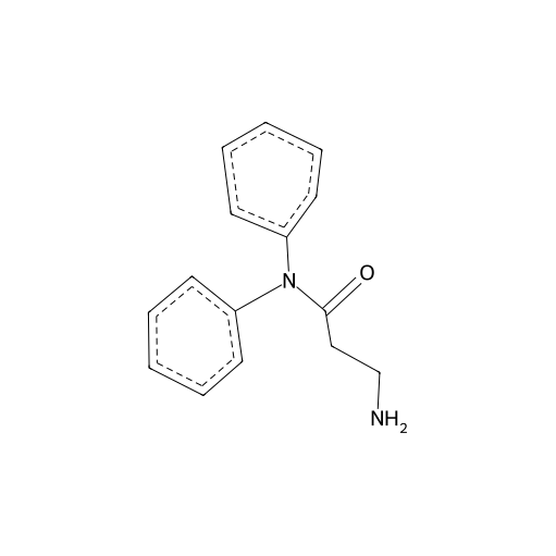 NCCC(=O)N(c1ccccc1)c1ccccc1